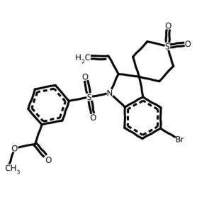 C=CC1N(S(=O)(=O)c2cccc(C(=O)OC)c2)c2ccc(Br)cc2C12CCS(=O)(=O)CC2